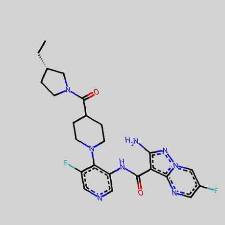 CC[C@H]1CCN(C(=O)C2CCN(c3c(F)cncc3NC(=O)c3c(N)nn4cc(F)cnc34)CC2)C1